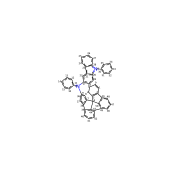 C1=CC2=C(CC1)C13c4cc(N(c5ccccc5)c5ccc6c(c5)c5ccccc5n6-c5ccccc5)ccc4-c4cccc(c41)-c1cccc2c13